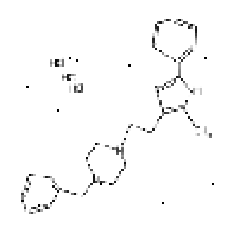 Cc1[nH]c(-c2ccccc2)nc1CCN1CCN(Cc2ccccc2)CC1.Cl.Cl.Cl